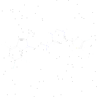 N#Cc1cc2c(Cl)cc(F)c(F)c2n1CCNc1cc(-c2cc(F)c(C(=O)O)s2)ncn1